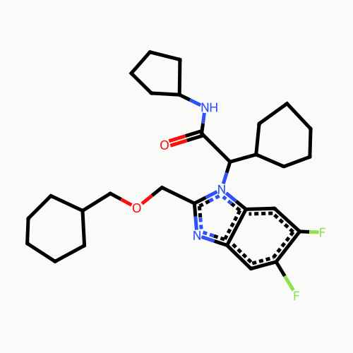 O=C(NC1CCCC1)C(C1CCCCC1)n1c(COCC2CCCCC2)nc2cc(F)c(F)cc21